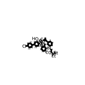 CCN(CC)CCNc1cccc(C2CC2(C(=O)O)N(Cc2cccc(C(=O)O)c2)S(=O)(=O)c2ccc(-c3ccc(Cl)cc3)cc2)c1